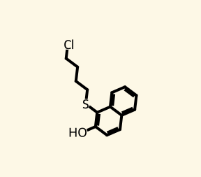 Oc1ccc2ccccc2c1SCCCCCl